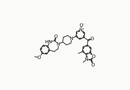 COc1ccc2c(c1)CCN(C1CCN(c3cc(C(=O)c4cc(C)c5c(c4)oc(=O)n5C)c[n+]([O-])c3)CC1)C(=O)N2